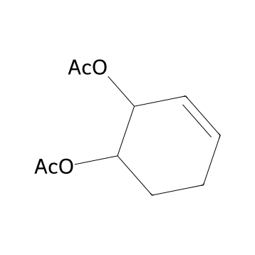 CC(=O)OC1C=CCCC1OC(C)=O